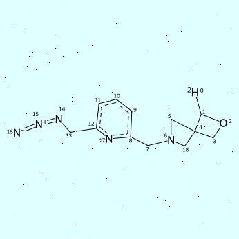 [2H]C1OCC12CN(Cc1cccc(CN=[N+]=[N-])n1)C2